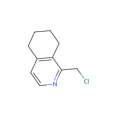 ClCc1nccc2c1CCCC2